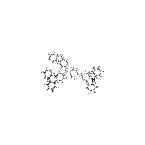 c1ccc2c(c1)oc1ccc(N(c3ccc(-c4cc5c6ccccc6n6c7ccccc7c(c4)c56)cc3)c3ccc4c5ccccc5c5ccccc5c4c3)cc12